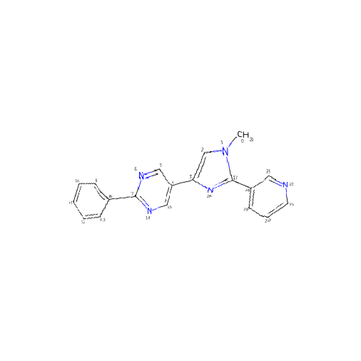 Cn1cc(-c2cnc(-c3ccccc3)nc2)nc1-c1cccnc1